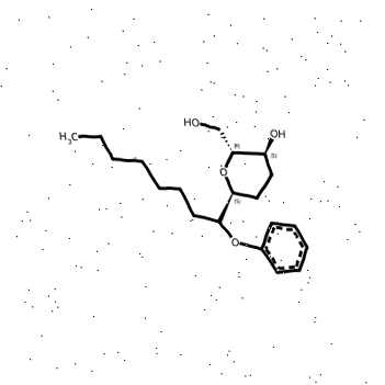 CCCCCCCC(Oc1ccccc1)[C@@H]1CC[C@H](O)[C@@H](CO)O1